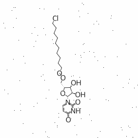 O=c1ccn([C@@H]2O[C@H](COOCCCCCCCCCCCl)[C@@H](O)[C@H]2O)c(=O)[nH]1